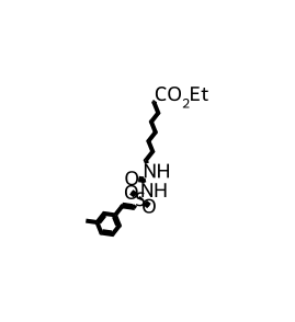 CCOC(=O)CCCCCCCNC(=O)NS(=O)(=O)/C=C/c1cccc(C)c1